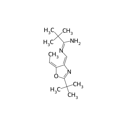 C/C=c1/oc(C(C)(C)C)n/c1=C/N=C(\N)C(C)(C)C